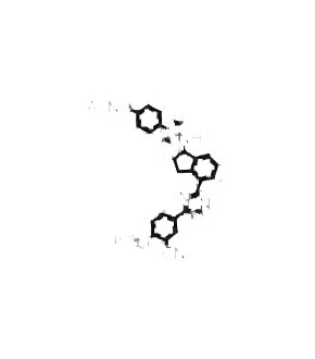 CC(=O)Nc1ccc(S(=O)(=O)N[C@@H]2CCc3c(-c4noc(-c5ccc(OC(C)C)c(C#N)c5)n4)cccc32)cc1